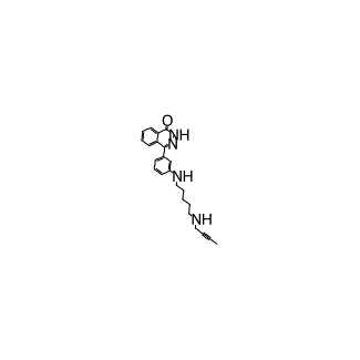 CC#CCNCCCCCNc1cccc(-c2n[nH]c(=O)c3ccccc23)c1